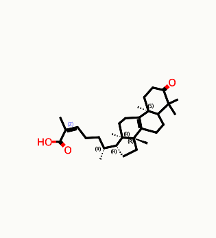 C/C(=C/CC[C@@H](C)[C@H]1CC[C@@]2(C)C3=C(CC[C@]12C)[C@@]1(C)CCC(=O)C(C)(C)C1CC3)C(=O)O